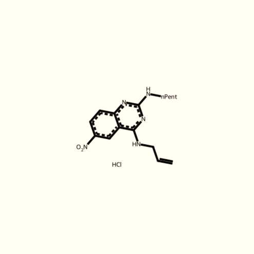 C=CCNc1nc(NCCCCC)nc2ccc([N+](=O)[O-])cc12.Cl